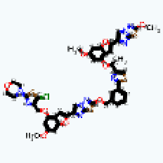 COc1cc(OCc2nc(N3CCOCC3)sc2Cl)c2cc(-c3cn4nc(OCc5cccc(-c6nc(C(C)Oc7cc(OC)cc8oc(-c9cn%10nc(OC)sc%10n9)cc78)cs6)c5)sc4n3)oc2c1